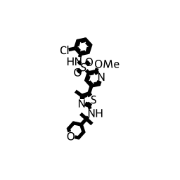 COc1ncc(-c2sc(NC(C)(C)C3CCOCC3)nc2C)cc1S(=O)(=O)Nc1ccccc1Cl